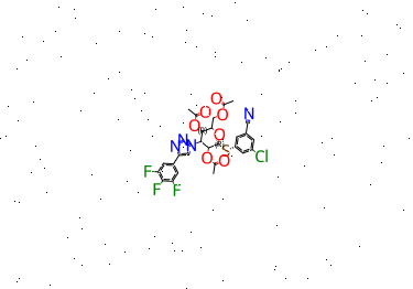 CC(=O)OCC1O[C@H](Sc2cc(Cl)cc(C#N)c2)C(OC(C)=O)C(n2cc(-c3cc(F)c(F)c(F)c3)nn2)[C@H]1OC(C)=O